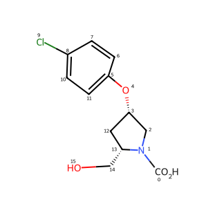 O=C(O)N1C[C@@H](Oc2ccc(Cl)cc2)C[C@H]1CO